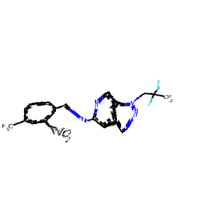 O=[N+]([O-])c1cc(C(F)(F)F)ccc1/C=N/c1cc2cnn(CC(F)(F)C(F)(F)F)c2cn1